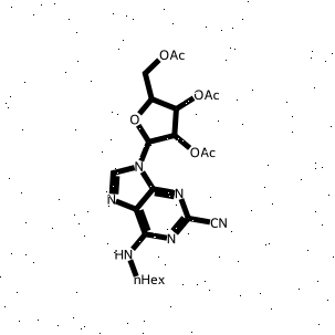 CCCCCCNc1nc(C#N)nc2c1ncn2C1OC(COC(C)=O)C(OC(C)=O)C1OC(C)=O